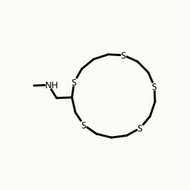 CNCC1CSCCCSCCSCCSCCCS1